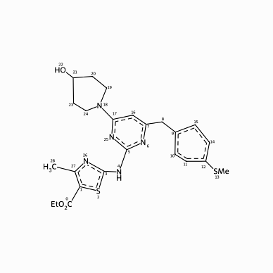 CCOC(=O)c1sc(Nc2nc(Cc3ccc(SC)cc3)cc(N3CCC(O)CC3)n2)nc1C